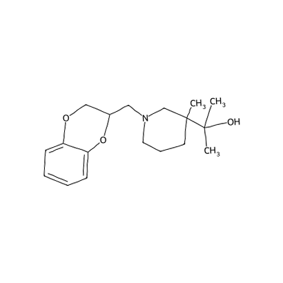 CC(C)(O)C1(C)CCCN(CC2COc3ccccc3O2)C1